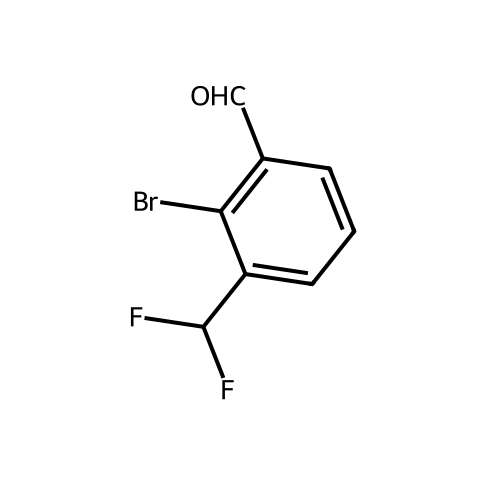 O=Cc1cccc(C(F)F)c1Br